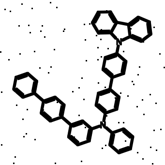 c1ccc(-c2ccc(-c3cccc(N(c4ccccc4)c4ccc(-c5ccc(-n6c7ccccc7c7ccccc76)cc5)cc4)c3)cc2)cc1